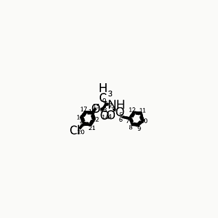 C[C@@H](NC(=O)OCc1ccccc1)C(=O)Oc1ccc(Cl)cc1